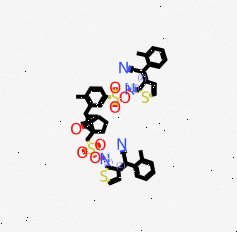 Cc1ccc(S(=O)(=O)O/N=C2\SC=C\C2=C(\C#N)c2ccccc2C)cc1CC1(C)C2CCC1(CS(=O)(=O)O/N=C1\SC=C\C1=C(\C#N)c1ccccc1C)C(=O)C2